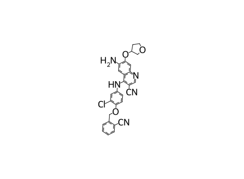 N#Cc1ccccc1COc1ccc(Nc2c(C#N)cnc3cc(OC4CCOC4)c(N)cc23)cc1Cl